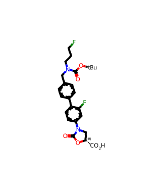 CC(C)(C)OC(=O)N(CCCF)Cc1ccc(-c2ccc(N3C[C@H](C(=O)O)OC3=O)cc2F)cc1